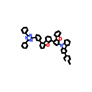 C=C/C=C\C(=C/C)c1ccc2c(c1)c1ccccc1n2-c1ccc(-c2cccc3c2oc2cccc(-c4cccc(-c5nc(-c6ccccc6)nc(-c6ccccc6)n5)c4)c23)c2c1oc1ccccc12